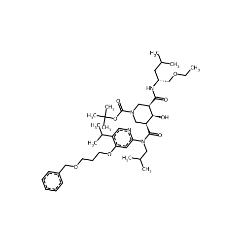 CCOC[C@@H](CC(C)C)NC(=O)[C@@H]1CN(C(=O)OC(C)(C)C)C[C@H](C(=O)N(CC(C)C)c2cc(OCCCOCc3ccccc3)c(C(C)C)cn2)[C@@H]1O